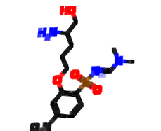 CN(C)/C=N/S(=O)(=O)c1ccc([N+](=O)[O-])cc1OCCCC(N)CO